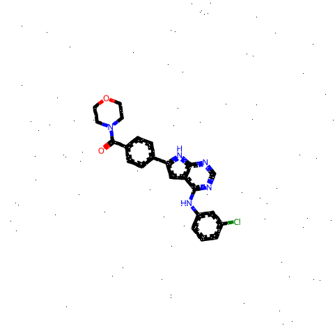 O=C(c1ccc(-c2cc3c(Nc4cccc(Cl)c4)ncnc3[nH]2)cc1)N1CCOCC1